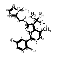 Cc1nnc(-c2cc(F)ccc2F)n2nc(OCc3ncnn3C)c(C(C)(C)C)c12